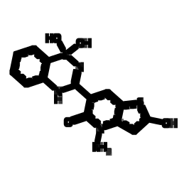 Nn1c(=O)c(C2=NS(O)(O)c3ccccc3N2)cc2sc(O)cc21